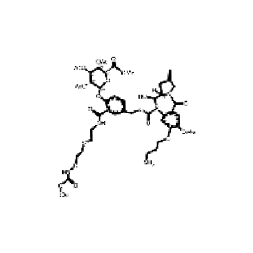 C=C1C[C@H]2C(O)N(C(=O)OCc3ccc(O[C@@H]4O[C@H](C(=O)OC)[C@@H](OC(C)=O)[C@H](OC(C)=O)[C@H]4OC(C)=O)c(C(=O)NCCOCCONC(=O)OC(C)(C)C)c3)c3cc(OCCCN)c(OC)cc3C(=O)N2C1